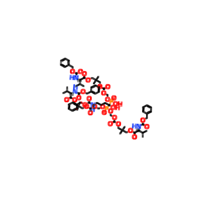 CC(C)[C@H](NC(=O)OCc1ccccc1)C(=O)OCC(C)(C)COC(=O)OCOP(=O)(O)C(O)(CCCNC(=O)OCc1ccccc1)P(=O)(OCOC(=O)OCC(C)(C)COC(=O)[C@@H](NC(=O)OCc1ccccc1)C(C)C)OCOC(=O)OCC(C)(C)COC(=O)[C@@H](NC(=O)OCc1ccccc1)C(C)C